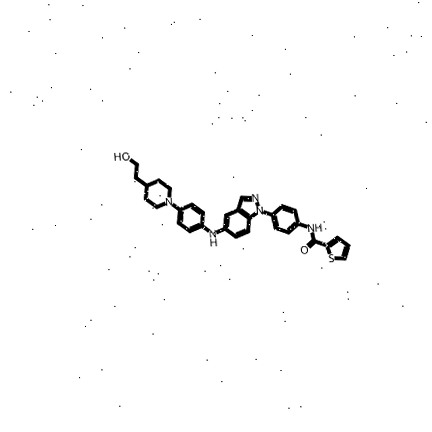 O=C(Nc1ccc(-n2ncc3cc(Nc4ccc(N5CCC(CCO)CC5)cc4)ccc32)cc1)c1cccs1